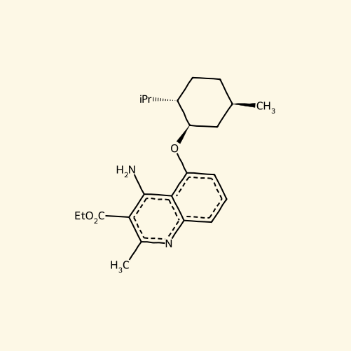 CCOC(=O)c1c(C)nc2cccc(O[C@@H]3C[C@H](C)CC[C@H]3C(C)C)c2c1N